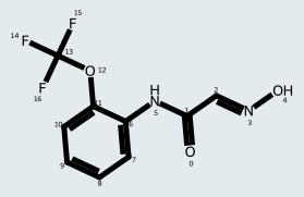 O=C(C=NO)Nc1ccccc1OC(F)(F)F